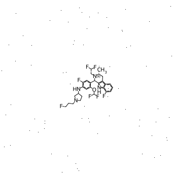 C[C@@H]1Cc2c([nH]c3c(F)cccc23)C(c2cc(F)c(NC3CCN(CCCF)C3)cc2OC(F)F)N1CC(F)F